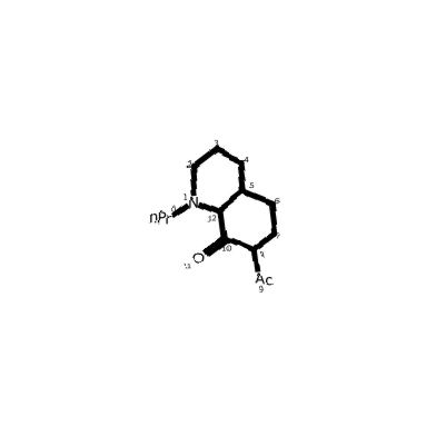 CCCN1CCCC2CCC(C(C)=O)C(=O)C21